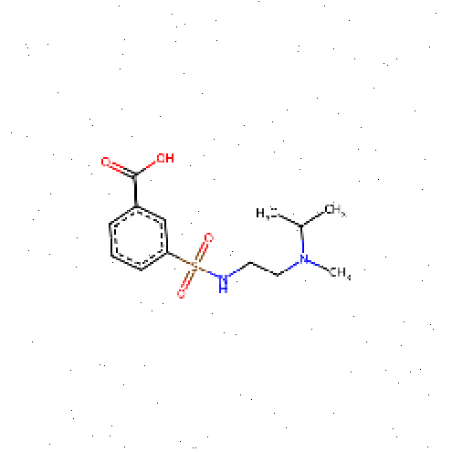 CC(C)N(C)CCNS(=O)(=O)c1cccc(C(=O)O)c1